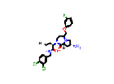 N#CCC[C@H](C(=O)NCc1ccc(Cl)c(Cl)c1)N1CCC(COc2cccc(F)c2)N2C[C@H](N)C[C@H]2C1=O